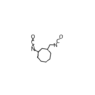 O=C=NCC1CCCCCC(N=C=O)C1